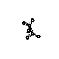 Cc1ccc(Oc2cc(COc3ccccc3)cc(COc3ccccc3)c2)c(Oc2cc(COc3ccccc3)cc(COc3ccccc3)c2)c1